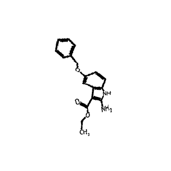 CCOC(=O)c1c(N)[nH]c2ccc(OCc3ccccc3)cc12